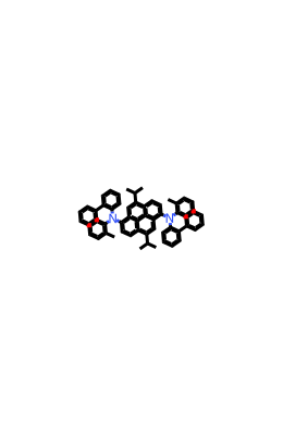 Cc1ccccc1N(c1ccccc1-c1ccccc1)c1ccc2c(C(C)C)cc3c(N(c4ccccc4C)c4ccccc4-c4ccccc4)ccc4c(C(C)C)cc1c2c43